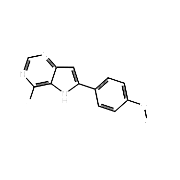 COc1ccc(-c2cc3ncnc(Cl)c3[nH]2)cc1